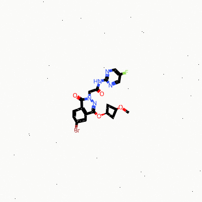 CO[C@H]1C[C@@H](Oc2nn(CC(=O)Nc3ncc(F)cn3)c(=O)c3ccc(Br)cc23)C1